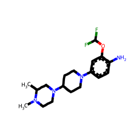 CC1CN(C2CCN(c3ccc(N)c(OC(F)F)c3)CC2)CCN1C